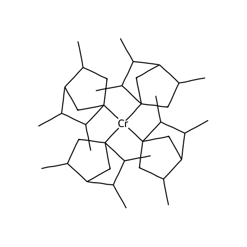 CC1C[C]2([Cr]([C]34CC(C)C(C3)C(C)C4C)([C]34CC(C)C(C3)C(C)C4C)[C]34CC(C)C(C3)C(C)C4C)CC1C(C)C2C